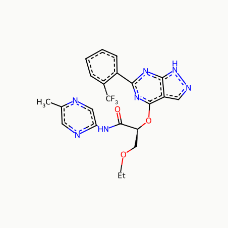 CCOC[C@H](Oc1nc(-c2ccccc2C(F)(F)F)nc2[nH]ncc12)C(=O)Nc1cnc(C)cn1